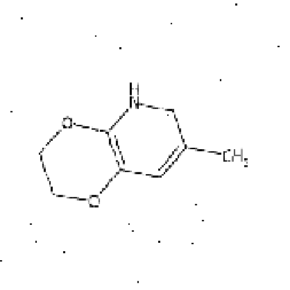 CC1=CC2=C(NC1)OCCO2